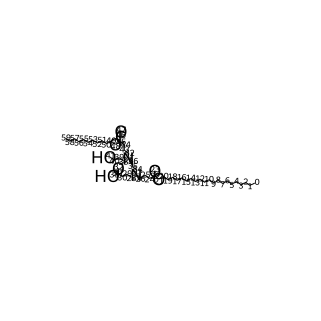 CCCCCCCCCCCCCCCCCCCCCOC(=O)CCCN(CCCC(=O)O)CCCN(CCCO)CCCC(=C=O)OCCCCCCCCCCC